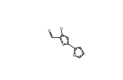 O=Cc1sc(-c2ccco2)cc1Cl